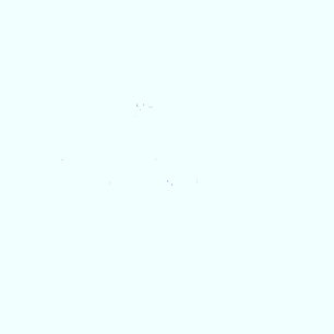 CCOCC(NC(=O)c1ccccc1OC)C(=O)O